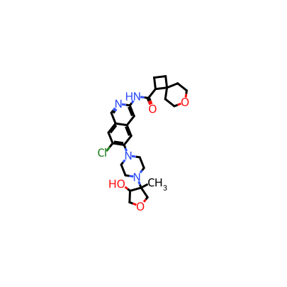 CC1(N2CCN(c3cc4cc(NC(=O)C5CCC56CCOCC6)ncc4cc3Cl)CC2)COCC1O